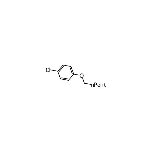 CCC[CH]CCOc1ccc(Cl)cc1